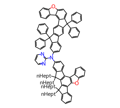 CCCCCCCC1(CCCCCCC)c2ccccc2-c2c1c1c(c3c2oc2ccccc23)-c2ccc(N(c3ccc4c(c3)C(c3ccccc3)(c3ccccc3)c3cc5c(cc3-4)C(c3ccccc3)(c3ccccc3)c3ccc4oc6ccccc6c4c3-5)c3ncccn3)cc2C1(CCCCCCC)CCCCCCC